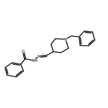 O=C(N/N=C/C1CCN(Cc2ccccc2)CC1)c1ccccc1